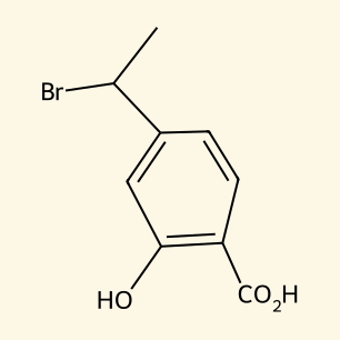 CC(Br)c1ccc(C(=O)O)c(O)c1